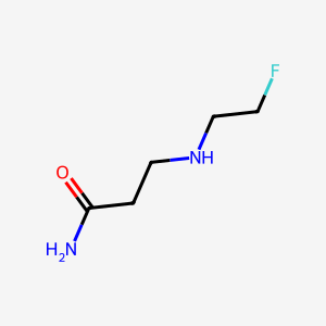 NC(=O)CCNCCF